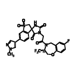 Cn1cc(-c2ccc3c(c2)S(=O)(=O)CC32NC(=O)N(CC(=O)N3Cc4cc(F)ccc4OC[C@H]3C(F)(F)F)C2=O)cn1